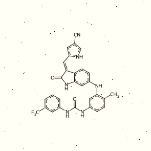 Cc1ccc(NC(=O)Nc2cccc(C(F)(F)F)c2)cc1Nc1ccc2c(c1)NC(=O)C2=Cc1cc(C#N)c[nH]1